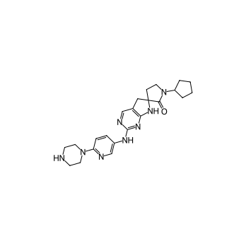 O=C1N(C2CCCC2)CCC12Cc1cnc(Nc3ccc(N4CCNCC4)nc3)nc1N2